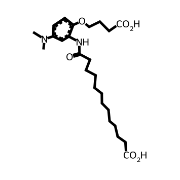 CN(C)c1ccc(OCCCC(=O)O)c(NC(=O)CCCCCCCCCCCC(=O)O)c1